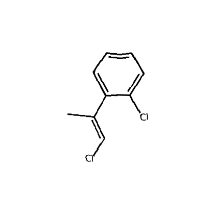 CC(=CCl)c1ccccc1Cl